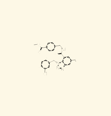 COC(=O)c1ccc([C@H](C)NC(=O)c2cc(Cl)cc3nnn(Cc4cccc(Cl)c4)c23)cc1